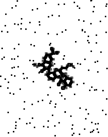 CCCC(=O)Oc1c(NC(=O)c2c(Cl)cccc2Cl)cccc1-c1cc2cc([N+](=O)[O-])ccc2n(C)c1=O